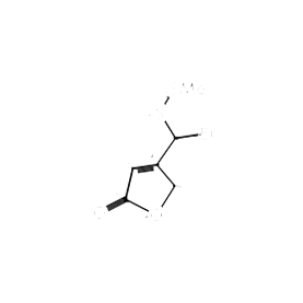 CCC(SSC)C1=CC(=O)OC1